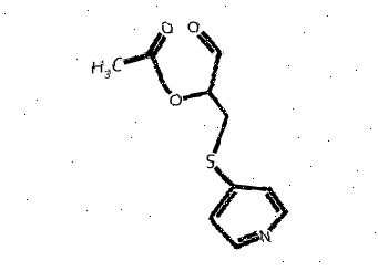 CC(=O)OC([C]=O)CSc1ccncc1